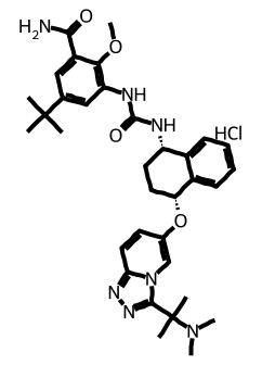 COc1c(NC(=O)N[C@H]2CC[C@@H](Oc3ccc4nnc(C(C)(C)N(C)C)n4c3)c3ccccc32)cc(C(C)(C)C)cc1C(N)=O.Cl